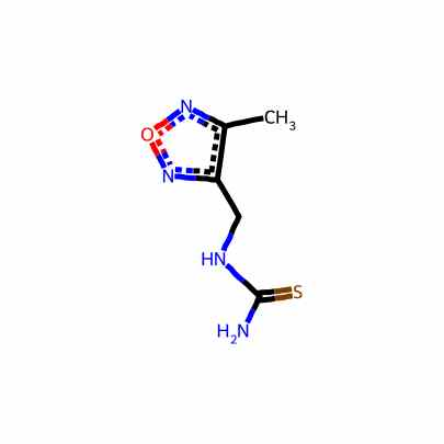 Cc1nonc1CNC(N)=S